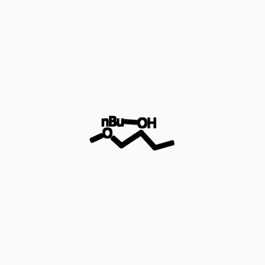 CCCCO.CCCCOC